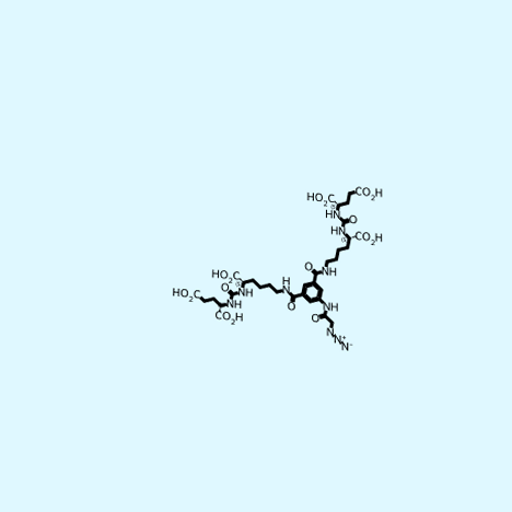 [N-]=[N+]=NCC(=O)Nc1cc(C(=O)NCCCC[C@H](NC(=O)N[C@@H](CCC(=O)O)C(=O)O)C(=O)O)cc(C(=O)NCCCC[C@H](NC(=O)N[C@@H](CCC(=O)O)C(=O)O)C(=O)O)c1